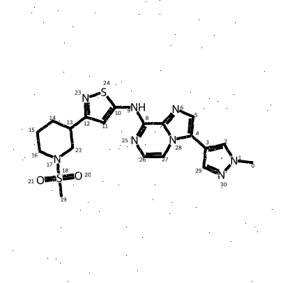 Cn1cc(-c2cnc3c(Nc4cc(C5CCCN(S(C)(=O)=O)C5)ns4)nccn23)cn1